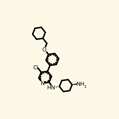 N[C@H]1CC[C@H](Nc2cc(-c3cccc(OCC4CCCCC4)c3)c(Cl)cn2)CC1